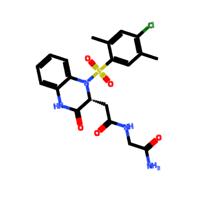 Cc1cc(S(=O)(=O)N2c3ccccc3NC(=O)[C@H]2CC(=O)NCC(N)=O)c(C)cc1Cl